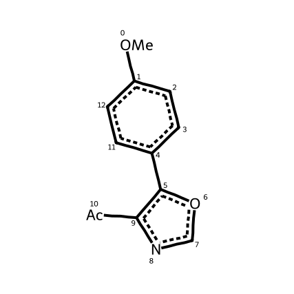 COc1ccc(-c2ocnc2C(C)=O)cc1